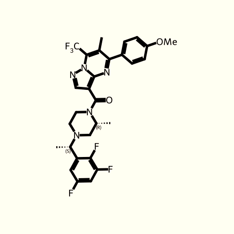 COc1ccc(-c2nc3c(C(=O)N4CCN([C@@H](C)c5cc(F)cc(F)c5F)C[C@H]4C)cnn3c(C(F)(F)F)c2C)cc1